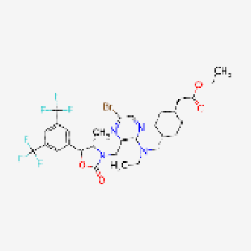 CCOC(=O)C[C@H]1CC[C@H](CN(CC)c2ncc(Br)nc2CN2C(=O)OC(c3cc(C(F)(F)F)cc(C(F)(F)F)c3)[C@@H]2C)CC1